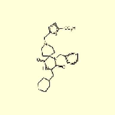 O=C(O)c1ccc(CN2CCC3(CC2)C(=O)NC(CC2CCCCC2)C(=O)N3Cc2ccccc2)s1